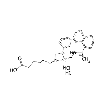 C[C@@H](NC[C@H]1CN(CCCCCC(=O)O)C[C@@H]1c1ccccc1)c1cccc2ccccc12.Cl.Cl